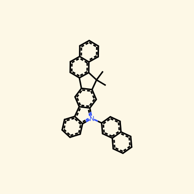 CC1(C)c2cc3c(cc2-c2ccc4ccccc4c21)c1ccccc1n3-c1ccc2ccccc2c1